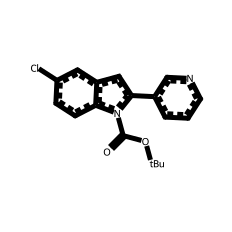 CC(C)(C)OC(=O)n1c(-c2cccnc2)cc2cc(Cl)ccc21